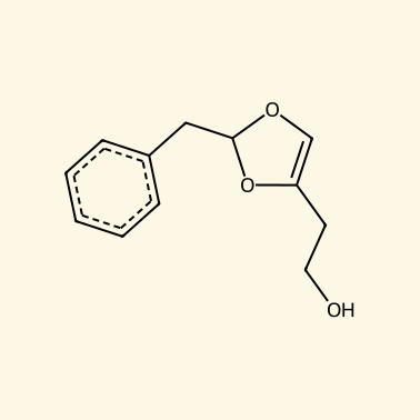 OCCC1=COC(Cc2ccccc2)O1